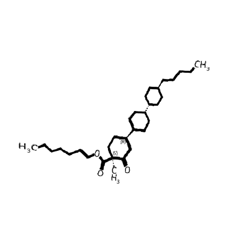 CCCCCCCOC(=O)[C@@]1(C)CC[C@@H](C2CCC([C@H]3CC[C@H](CCCCC)CC3)CC2)CC1=O